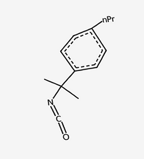 CCCc1ccc(C(C)(C)N=C=O)cc1